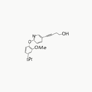 CCCc1ccc(Oc2ccc(C#CCCO)cn2)c(OC)c1